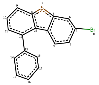 Brc1ccc2c(c1)sc1cccc(-c3ccccc3)c12